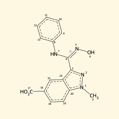 Cn1nc(/C(=N\O)Nc2ccccc2)c2cc(C(=O)O)ccc21